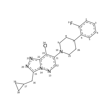 Fc1ccccc1C1CCN(c2cnn3c(CC4CC4)nnc3c2Cl)CC1